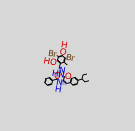 CCC(CC)c1ccc(/C=C(/NC(=O)c2ccccc2)C(=O)N/N=C/c2c(C)c(Br)c(O)c(Br)c2O)cc1